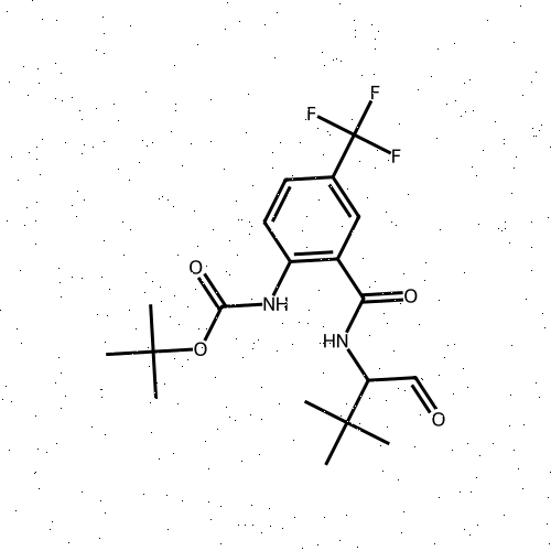 CC(C)(C)OC(=O)Nc1ccc(C(F)(F)F)cc1C(=O)NC(C=O)C(C)(C)C